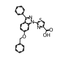 O=C(O)c1csc(-n2nc(-c3ccccc3)c3ccc(OCc4ccccc4)cc32)n1